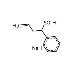 C=CCC(c1ccccc1)S(=O)(=O)O.[NaH]